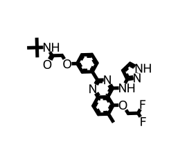 Cc1ccc2nc(-c3cccc(OCC(=O)NC(C)(C)C)c3)nc(Nc3cc[nH]n3)c2c1OCC(F)F